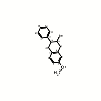 COc1ccc2c(c1)CC(I)C(c1ccccc1)C2